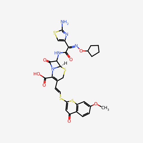 COc1ccc2c(=O)cc(S/C=C/C3=C(C(=O)O)N4C(=O)C(NC(=O)/C(=N\OC5CCCC5)c5csc(N)n5)[C@H]4SC3)sc2c1